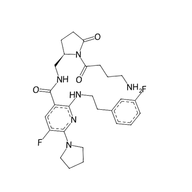 NCCCC(=O)N1C(=O)CC[C@@H]1CNC(=O)c1cc(F)c(N2CCCC2)nc1NCCc1cccc(F)c1